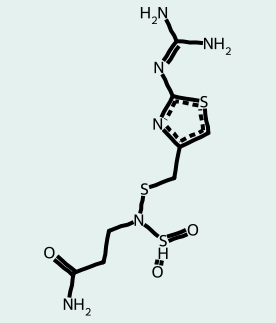 NC(=O)CCN(SCc1csc(N=C(N)N)n1)[SH](=O)=O